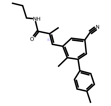 CCCNC(=O)/C(C)=C/c1cc(C#N)cc(-c2ccc(C)cc2)c1C